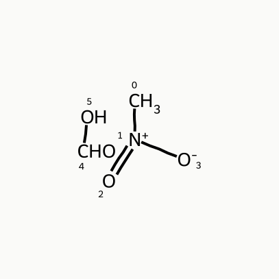 C[N+](=O)[O-].O=CO